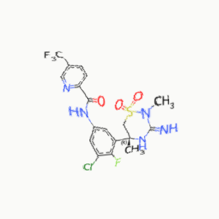 CN1C(=N)N[C@](C)(c2cc(NC(=O)c3ccc(C(F)(F)F)cn3)cc(Cl)c2F)CS1(=O)=O